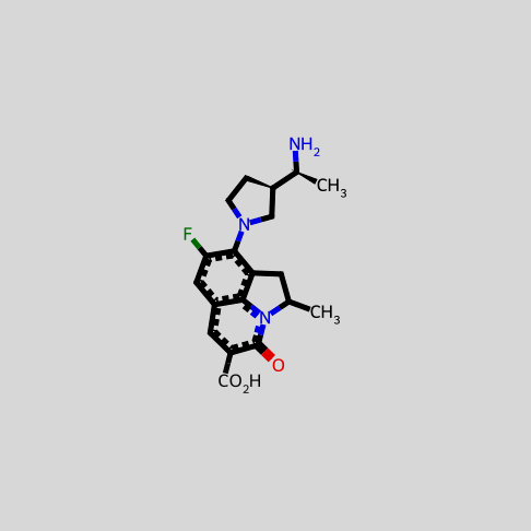 CC1Cc2c(N3CC[C@@H]([C@H](C)N)C3)c(F)cc3cc(C(=O)O)c(=O)n1c23